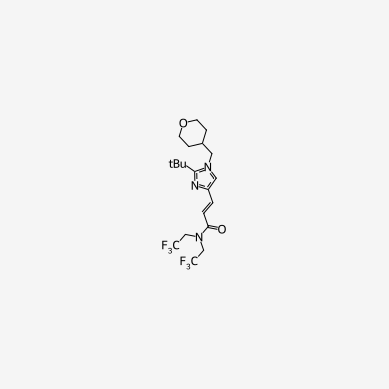 CC(C)(C)c1nc(C=CC(=O)N(CC(F)(F)F)CC(F)(F)F)cn1CC1CCOCC1